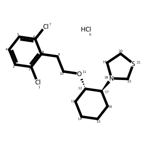 Cl.Clc1cccc(Cl)c1CCO[C@H]1CCCC[C@@H]1N1CCSC1